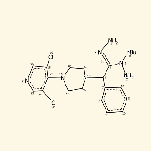 CCCCN(N)/C(=N\N)C(c1ccccc1)N1CCN(c2c(Cl)cncc2Cl)CC1